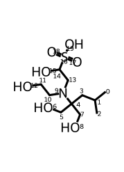 CC(C)CC(CO)(CO)N(CCO)CC(O)S(=O)(=O)O